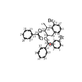 Cc1cccc(Br)c1[C@H]1c2cccc(Br)c2C(C)C(OC(=O)c2ccccc2)C1OC(=O)c1ccccc1